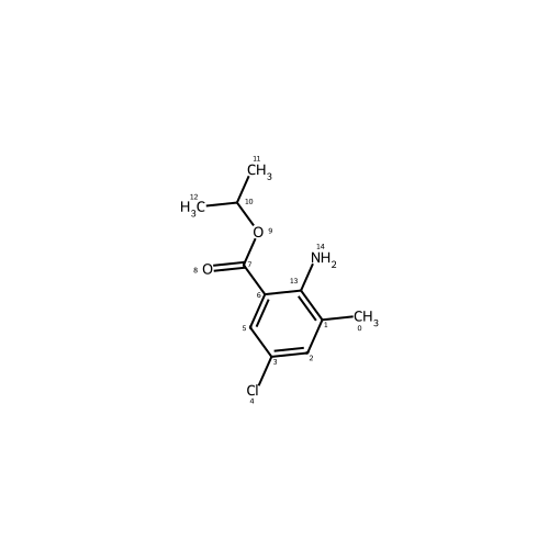 Cc1cc(Cl)cc(C(=O)OC(C)C)c1N